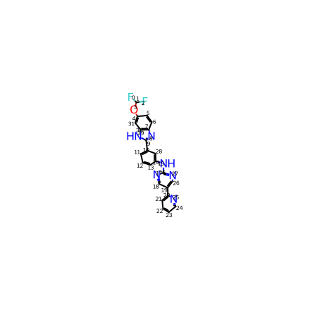 FC(F)Oc1ccc2nc(-c3cccc(Nc4ncc(-c5ccccn5)cn4)c3)[nH]c2c1